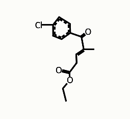 CCOC(=O)CC=C(C)C(=O)c1ccc(Cl)cc1